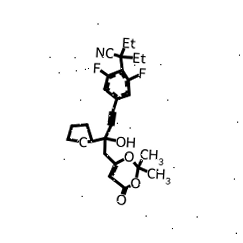 CCC(C#N)(CC)c1c(F)cc(C#CC(O)(CC2=CC(=O)OC(C)(C)O2)C2CCCC2)cc1F